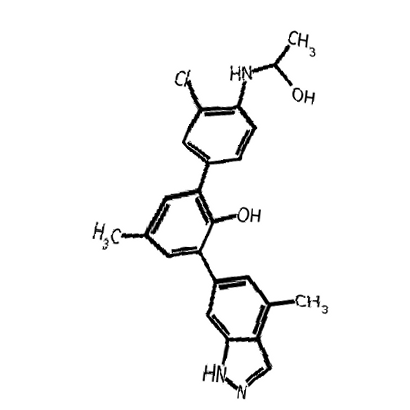 Cc1cc(-c2ccc(NC(C)O)c(Cl)c2)c(O)c(-c2cc(C)c3cn[nH]c3c2)c1